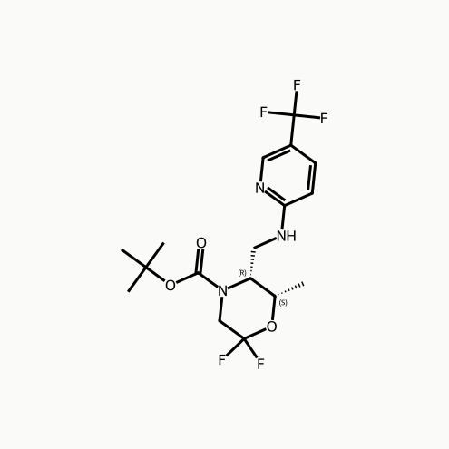 C[C@@H]1OC(F)(F)CN(C(=O)OC(C)(C)C)[C@@H]1CNc1ccc(C(F)(F)F)cn1